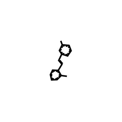 Cc1cccc(/C=C/c2ccccc2C)c1